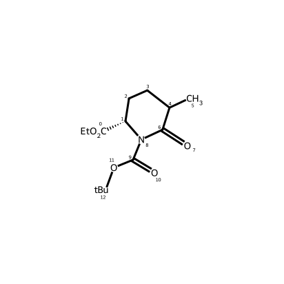 CCOC(=O)[C@@H]1CCC(C)C(=O)N1C(=O)OC(C)(C)C